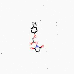 Cc1ccc(OCC(=O)ON2C(=O)CCC2=O)cc1